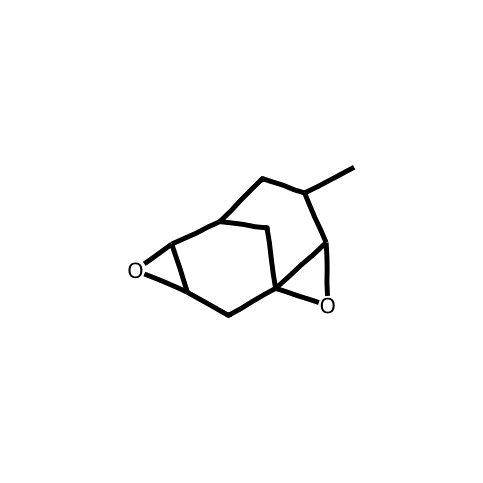 CC1CC2CC3(CC4OC24)OC13